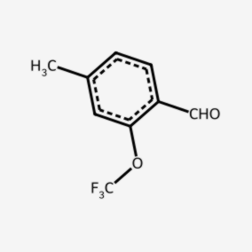 Cc1ccc(C=O)c(OC(F)(F)F)c1